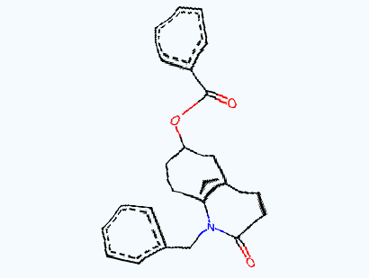 O=C(OC1CCC2=C(CCC(=O)N2Cc2ccccc2)C1)c1ccccc1